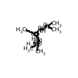 CCCCCCOc1cc(CNC(=O)COCC(=O)N(CCCC)CCCC)cc(CNC(=O)C(OC)C(=O)N(CCCC)CCCC)c1